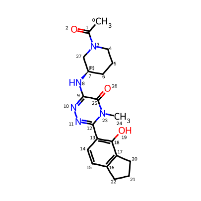 CC(=O)N1CCC[C@@H](Nc2nnc(-c3ccc4c(c3O)CCC4)n(C)c2=O)C1